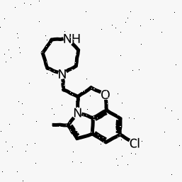 Cc1cc2cc(Cl)cc3c2n1C(CN1CCCNCC1)CO3